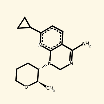 C[C@H]1OCCC[C@@H]1N1CN=C(N)c2ccc(C3CC3)nc21